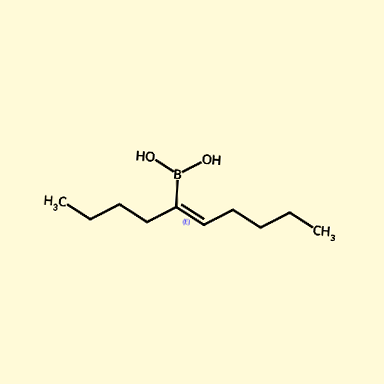 CCCC/C=C(/CCCC)B(O)O